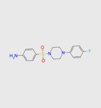 Nc1ccc(S(=O)(=O)N2CCN(c3ccc(F)cc3)CC2)cc1